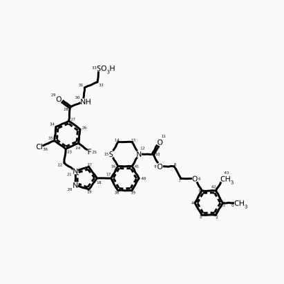 Cc1cccc(OCCOC(=O)N2CCSc3c(-c4cnn(Cc5c(F)cc(C(=O)NCCS(=O)(=O)O)cc5Cl)c4)cccc32)c1C